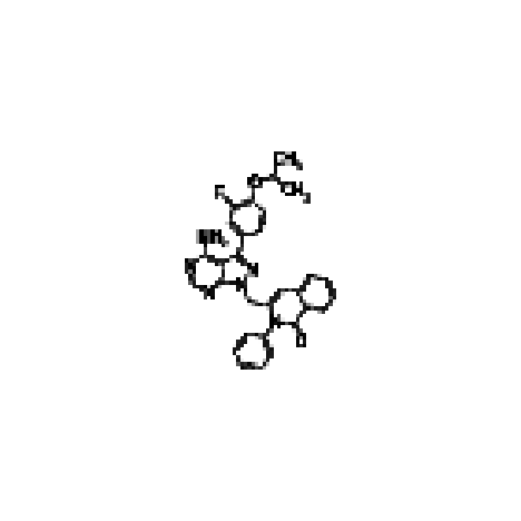 CC(C)Oc1ccc(-c2nn(Cc3cc4ccccc4c(=O)n3-c3ccccc3)c3ncnc(N)c23)cc1F